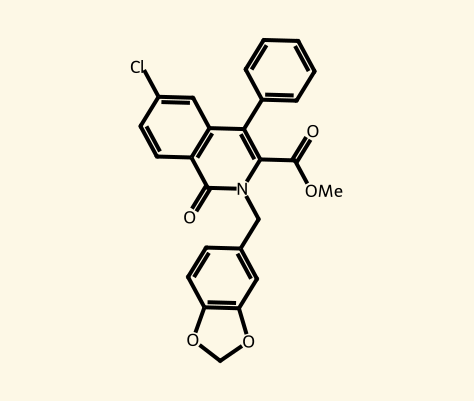 COC(=O)c1c(-c2ccccc2)c2cc(Cl)ccc2c(=O)n1Cc1ccc2c(c1)OCO2